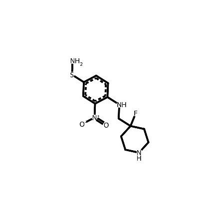 NSc1ccc(NCC2(F)CCNCC2)c([N+](=O)[O-])c1